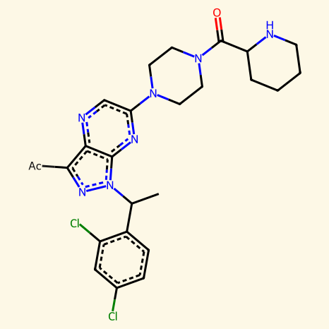 CC(=O)c1nn(C(C)c2ccc(Cl)cc2Cl)c2nc(N3CCN(C(=O)C4CCCCN4)CC3)cnc12